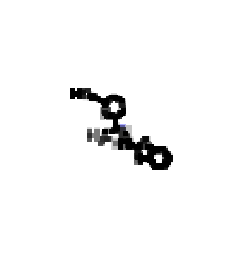 C#Cc1cccc(/C(C)=N/Nc2nc3ccccc3s2)n1